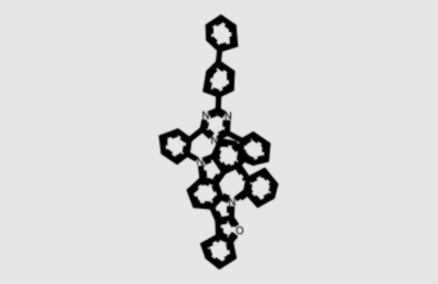 c1ccc(-c2ccc(-c3nc(-c4ccccc4)nc(-c4ccccc4-n4c5cccc6c7ccccc7n7c8oc9ccccc9c8c8ccc4c(c65)c87)n3)cc2)cc1